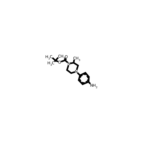 CC1CN(c2ccc(N)cc2)CCN1C(=O)OC(C)(C)C